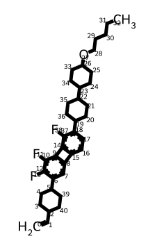 C=CC1CCC(c2cc3c(c(F)c2F)-c2c-3ccc(C3CCC(C4CCC(OCCCCC)CC4)CC3)c2F)CC1